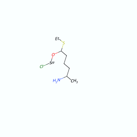 CCSC(CCCC(C)N)[O][Sn][Cl]